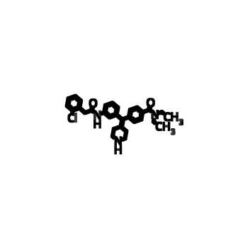 CCN(CC)C(=O)c1ccc(C(=C2CCNCC2)c2cccc(NC(=O)Cc3ccccc3Cl)c2)cc1